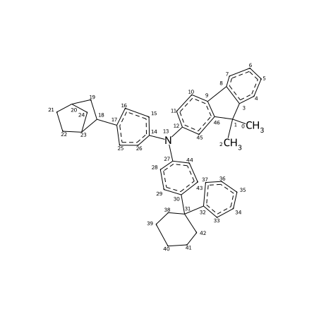 CC1(C)c2ccccc2-c2ccc(N(c3ccc(C4CC5CCC4C5)cc3)c3ccc(C4(c5ccccc5)CCCCC4)cc3)cc21